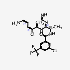 C=C(N/C(=N\C=N)[C@H](C)NC(=O)c1cc(Cl)cc(C(F)(F)F)c1)/C(Cl)=C\C=C/N